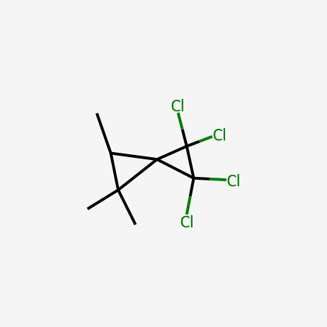 CC1C(C)(C)C12C(Cl)(Cl)C2(Cl)Cl